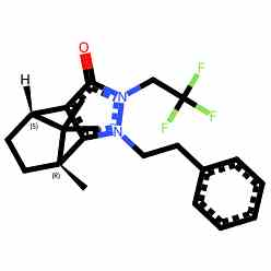 CC1(C)[C@@H]2CC[C@@]1(C)c1c2c(=O)n(CC(F)(F)F)n1CCc1ccccc1